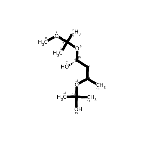 COC(C)(C)O[C@@H](O)CC(C)OC(C)(C)O